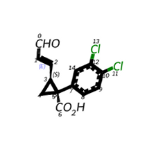 O=C/C=C/[C@@H]1C[C@@]1(C(=O)O)c1ccc(Cl)c(Cl)c1